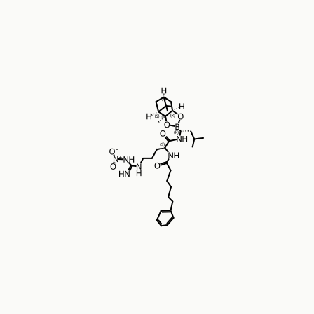 CC(C)C[C@H](NC(=O)[C@H](CCCNC(=N)N[N+](=O)[O-])NC(=O)CCCCCc1ccccc1)B1O[C@@H]2C[C@@H]3C[C@@H](C3(C)C)[C@]2(C)O1